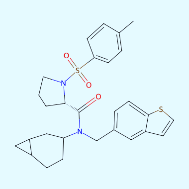 Cc1ccc(S(=O)(=O)N2CCC[C@H]2C(=O)N(Cc2ccc3sccc3c2)C2CCC3CC3C2)cc1